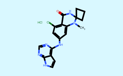 CN1c2cc(Nc3ncnc4[nH]ccc34)cc(Cl)c2C(=O)NC12CCC2.Cl